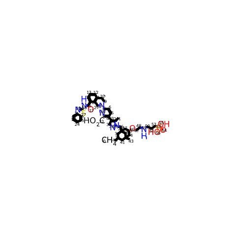 C.Cc1c(-c2ccc(N3CCc4cccc(C(=O)Nc5nc6ccccc6s5)c4C3)nc2C(=O)O)cnn1CC12CC(C)CC(C)(CC(OCCNCCCP(=O)(O)O)C1)C2